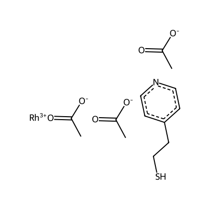 CC(=O)[O-].CC(=O)[O-].CC(=O)[O-].SCCc1ccncc1.[Rh+3]